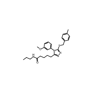 CCCNC(=O)CCCCc1nnc(SCc2ccc(C)cc2)n1-c1cccc(OC)c1